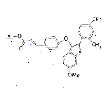 COc1ccc2c(Oc3ccc(/C=C/C(=O)OC(C)(C)C)cc3)c(-c3ccc(C(F)(F)F)cc3C)sc2c1